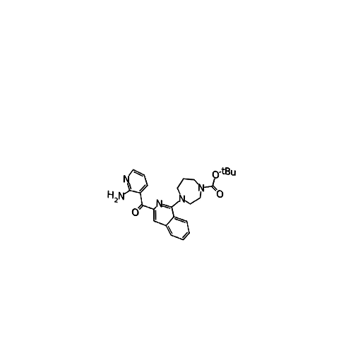 CC(C)(C)OC(=O)N1CCCN(c2nc(C(=O)c3cccnc3N)cc3ccccc23)CC1